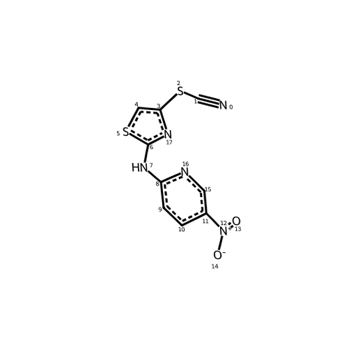 N#CSc1csc(Nc2ccc([N+](=O)[O-])cn2)n1